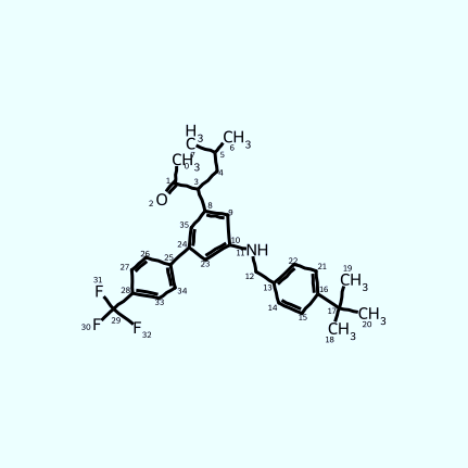 CC(=O)C(CC(C)C)c1cc(NCc2ccc(C(C)(C)C)cc2)cc(-c2ccc(C(F)(F)F)cc2)c1